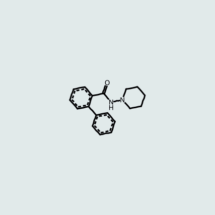 O=C(NN1CCCCC1)c1ccccc1-c1ccccc1